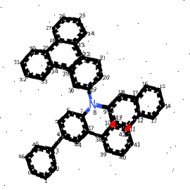 c1ccc(-c2ccc(N(c3ccc4ccccc4c3)c3ccc4c5ccccc5c5ccccc5c4c3)c(-c3ccccc3)c2)cc1